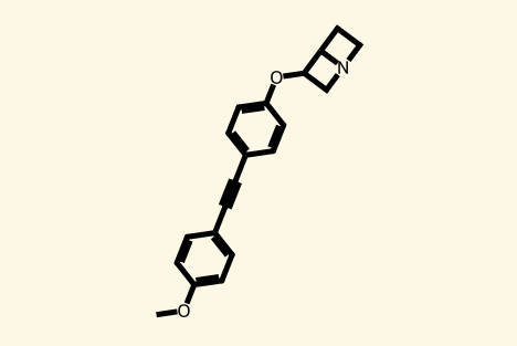 COc1ccc(C#Cc2ccc(OC3CN4CCC34)cc2)cc1